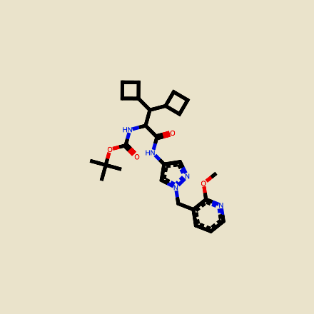 COc1ncccc1Cn1cc(NC(=O)C(NC(=O)OC(C)(C)C)C(C2CCC2)C2CCC2)cn1